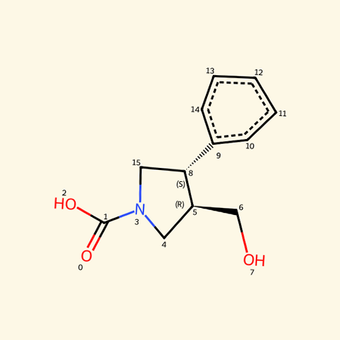 O=C(O)N1C[C@H](CO)[C@@H](c2ccccc2)C1